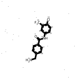 NCc1ccc(C(=O)Nc2ccc(Cl)c(C(F)(F)F)c2)cc1